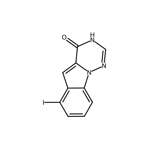 O=c1[nH]cnn2c1cc1c(I)cccc12